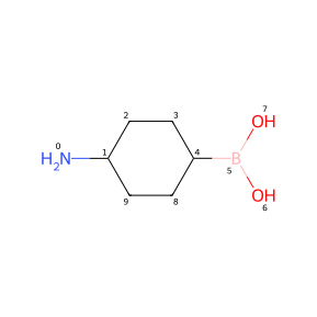 NC1CCC(B(O)O)CC1